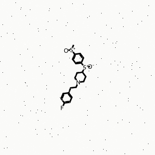 C[S+]([O-])c1ccc([S+]([O-])C2CCN(CCc3ccc(F)cc3)CC2)cc1